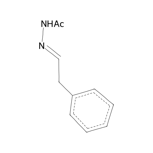 CC(=O)NN=CCc1ccccc1